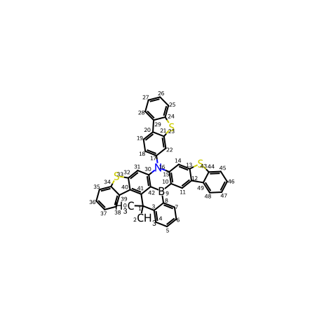 CC1(C)c2ccccc2B2c3cc4c(cc3N(c3ccc5c(c3)sc3ccccc35)c3cc5sc6ccccc6c5c1c32)sc1ccccc14